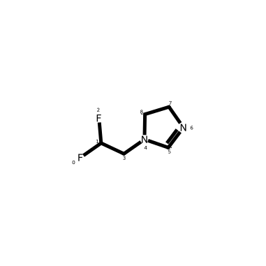 FC(F)CN1[C]=NC[CH]1